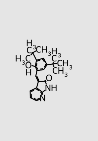 CC(C)(C)c1cc(C=C2C(=O)Nc3ncccc32)c(O)c(C(C)(C)C)c1